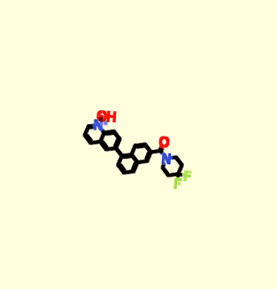 O=C(c1ccc2c(-c3ccc4c(ccc[n+]4O)c3)cccc2c1)N1CCC(F)(F)CC1